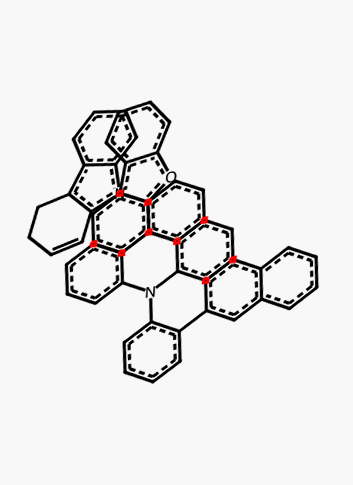 C1=Cc2c(c3ccccc3n2-c2ccccc2-c2ccccc2N(c2ccccc2-c2ccc3ccccc3c2)c2ccccc2-c2cccc3c2oc2ccccc23)CC1